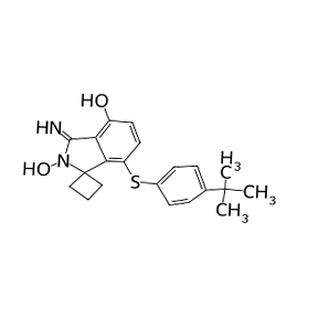 CC(C)(C)c1ccc(Sc2ccc(O)c3c2C2(CCC2)N(O)C3=N)cc1